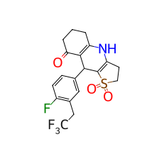 O=C1CCCC2=C1C(c1ccc(F)c(CC(F)(F)F)c1)C1=C(CCS1(=O)=O)N2